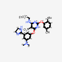 CCOC(=O)CNc1nc(Oc2cc(C#N)ccc2C(C)(C)C)nc(Oc2cc(C3=NCCN3)cc(N(C)C)c2)c1[N+](=O)[O-]